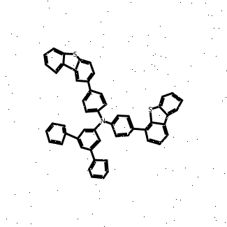 c1ccc(-c2cc(-c3ccccc3)cc(N(c3ccc(-c4ccc5sc6ccccc6c5c4)cc3)c3ccc(-c4cccc5c4sc4ccccc45)cc3)c2)cc1